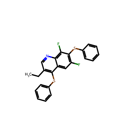 CCc1cnc2c(F)c(Sc3ccccc3)c(F)cc2c1Sc1ccccc1